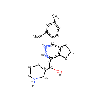 COc1cc(C(F)(F)F)ccc1-c1nnc(C(O)[C@@H]2CCCN(C)C2)c2c1CCC2